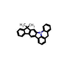 CC1(C)c2ccccc2-c2cc3c4cccc5c4n(c3cc21)-c1ccccc1C5